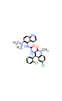 CN(C)c1ccc2ncccc2c1NC(=O)Nc1c(-c2ccccc2Cl)c2cc(Cl)ccc2n(C)c1=O